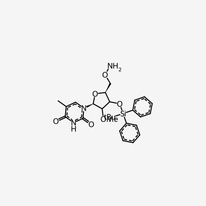 COC1C(O[Si](c2ccccc2)(c2ccccc2)C(C)(C)C)[C@H](CON)O[C@@H]1n1cc(C)c(=O)[nH]c1=O